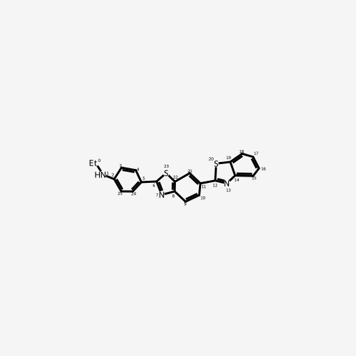 CCNc1ccc(-c2nc3ccc(-c4nc5ccccc5s4)cc3s2)cc1